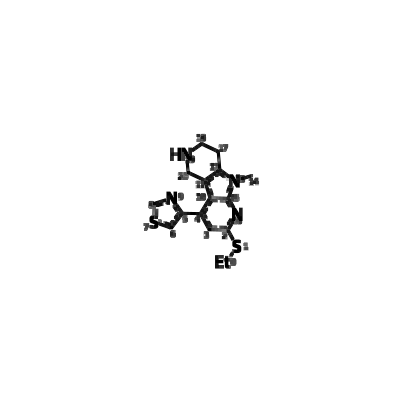 CCSc1cc(-c2cscn2)c2c3c(n(C)c2n1)CCNC3